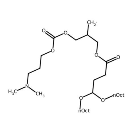 [CH2]C(COC(=O)CCC(OCCCCCCCC)OCCCCCCCC)COC(=O)OCCCN(C)C